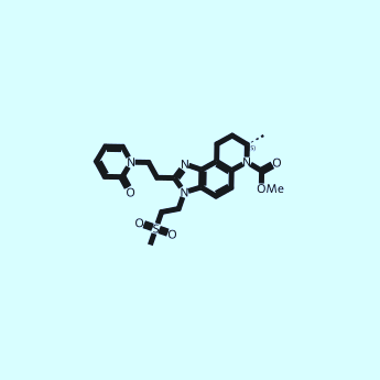 COC(=O)N1c2ccc3c(nc(CCn4ccccc4=O)n3CCS(C)(=O)=O)c2CC[C@@H]1C